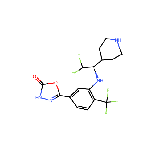 O=c1[nH]nc(-c2ccc(C(F)(F)F)c(N[C@@H](C(F)F)C3CCNCC3)c2)o1